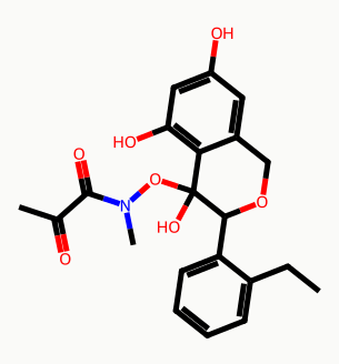 CCc1ccccc1C1OCc2cc(O)cc(O)c2C1(O)ON(C)C(=O)C(C)=O